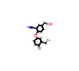 N#Cc1cc(CO)ccc1Oc1ccc(F)c(CF)c1